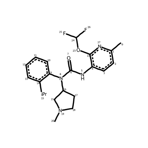 Cc1ccc(NC(=O)N(c2ccccc2C(C)C)C2CCN(C)C2)c(OC(F)F)n1